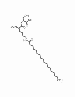 CN/C(=C/CCCNC(=O)CCCCCCCCCCCCCCCCC(=O)O)C(=O)C[C@@H](CO)C(N)=O